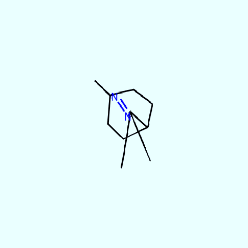 CC12CCC(CC1)C(C)(C)N=N2